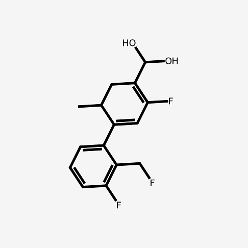 CC1CC(C(O)O)=C(F)C=C1c1cccc(F)c1CF